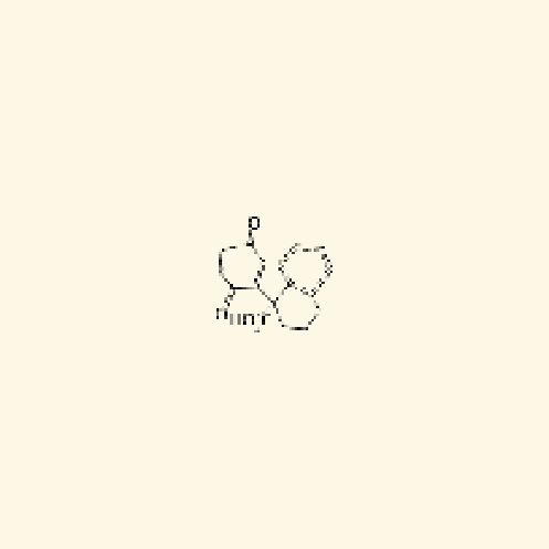 O=C1C=CC(=O)C([C@]2(C(=O)O)CCCc3ccccc32)=C1